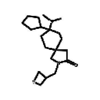 CN(C)C1(C2CCCC2)CCC2(CC1)CC(=O)N(CC1COC1)C2